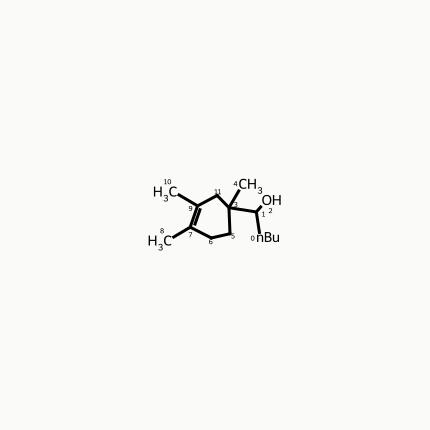 CCCCC(O)C1(C)CCC(C)=C(C)C1